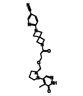 Cc1c(N2CCC[C@H]2COCCC(=O)N2CC3(C2)CN(c2ccc(C#N)cn2)C3)cn[nH]c1=O